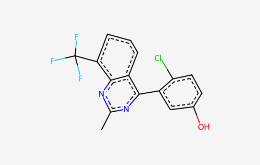 Cc1nc(-c2cc(O)ccc2Cl)c2cccc(C(F)(F)F)c2n1